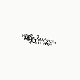 CCN(CCONC(=O)[C@@H]1CC[C@@H]2CN1C(=O)N2OS(=O)(=O)O)C(=O)O